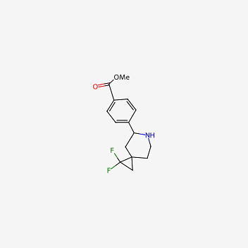 COC(=O)c1ccc(C2CC3(CCN2)CC3(F)F)cc1